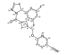 N#Cc1ccc(OCC23CC(C(=O)N4N=CCC4c4cc(F)cc(F)c4)(C2)C3)nc1